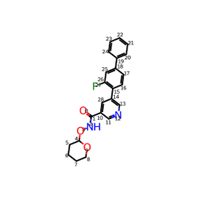 O=C(NOC1CCCCO1)c1cncc(-c2ccc(-c3ccccc3)cc2F)c1